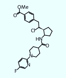 COC(=O)c1ccc(CC(Cl)[C@H]2CCCC2NC(=O)C2CCN(c3ccc(F)cn3)CC2)cc1